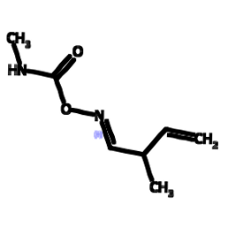 C=CC(C)/C=N/OC(=O)NC